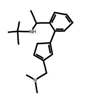 CC(NC(C)(C)C)c1ccccc1C1=CC(CN(C)C)=CC1